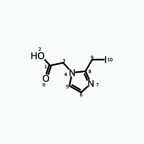 O=C(O)Cn1ccnc1CI